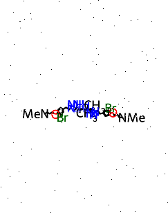 CNCCCOc1ccc(CCN(N)/C=C(N)/C(C)=C/C=C(\C)c2cn(CCc3ccc(OCCCNC)c(Br)c3)nn2)cc1Br